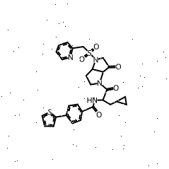 O=C(NC(CC1CC1)C(=O)N1CCC2C1C(=O)CN2S(=O)(=O)Cc1ccccn1)c1ccc(-c2cccs2)cc1